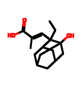 CCC1(C=C(C)C(=O)O)C2CC3CC(C2)CC1(O)C3